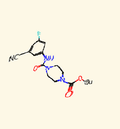 CC(C)(C)OC(=O)N1CCN(C(=O)Nc2cc(F)cc(C#N)c2)CC1